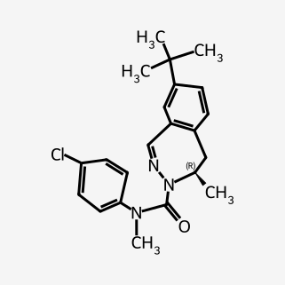 C[C@@H]1Cc2ccc(C(C)(C)C)cc2C=NN1C(=O)N(C)c1ccc(Cl)cc1